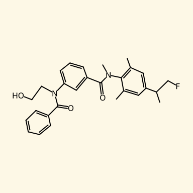 Cc1cc(C(C)CF)cc(C)c1N(C)C(=O)c1cccc(N(CCO)C(=O)c2ccccc2)c1